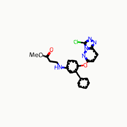 COC(=O)CCNc1ccc(Oc2ccc3nnc(Cl)n3n2)c(-c2ccccc2)c1